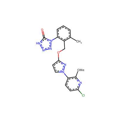 COc1nc(Cl)ccc1-n1ccc(OCc2c(C)cccc2-n2nn[nH]c2=O)n1